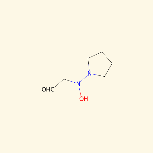 O=[C]CN(O)N1CCCC1